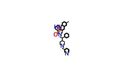 Cc1ccc2[nH]c(=O)c(CN(CC(c3ccccc3)C3CCN(Cc4cccnc4)CC3)C(=O)C3CCCCC3)cc2c1